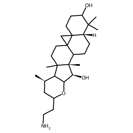 C[C@@H]1CC(CCN)OC2C1C1(C)CCC34CC35CCC(O)C(C)(C)[C@@H]5CCC4[C@]1(C)[C@H]2O